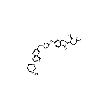 O=C1CCC(N2Cc3cc(O[C@H]4CCN(Cc5ccc6nc(N7CCC[C@H](O)C7)ncc6c5)C4)ccc3C2=O)C(=O)N1